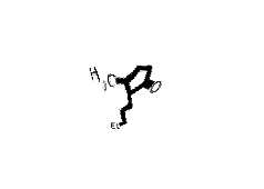 CCC=CCC1C(=O)CC=C1C